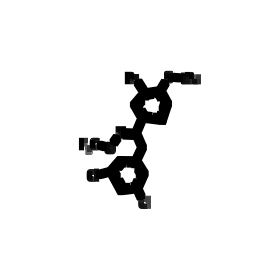 CC(C)(C)Sc1ccc(/C(Cc2cc(Cl)cc(Cl)c2)=N/OC(F)(F)F)cc1Br